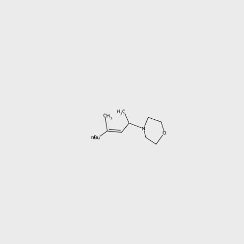 CCCCC(C)=CC(C)N1CCOCC1